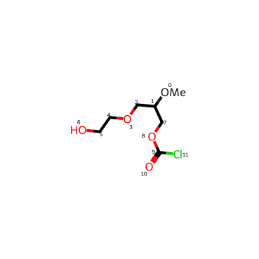 COC(COCCO)COC(=O)Cl